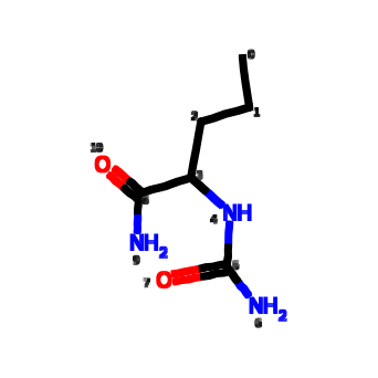 CCCC(NC(N)=O)C(N)=O